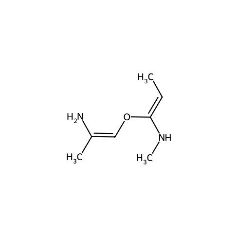 C/C=C(/NC)O/C=C(/C)N